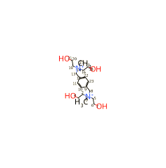 C[N+](CCO)(CCO)Cc1ccc(C[N+](C)(CCO)CCO)cc1